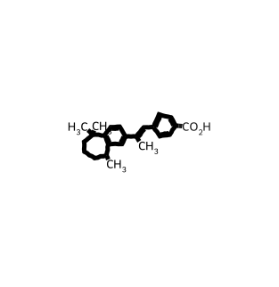 CC(=Cc1ccc(C(=O)O)cc1)c1ccc2c(c1)C(C)CCCC2(C)C